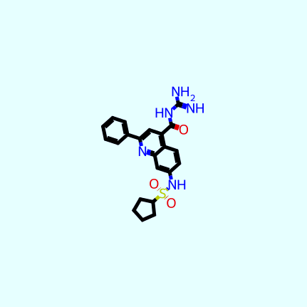 N=C(N)NC(=O)c1cc(-c2ccccc2)nc2cc(NS(=O)(=O)C3CCCC3)ccc12